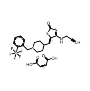 C#CCNC1=NC(=O)S/C1=C\C1CCN(Cc2ccccc2S(F)(F)(F)(F)F)CC1.O=C(O)/C=C\C(=O)O